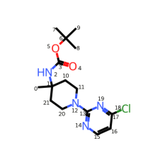 CC1(NC(=O)OC(C)(C)C)CCN(c2nccc(Cl)n2)CC1